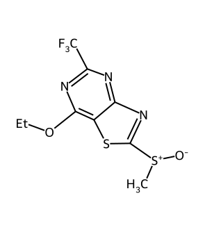 CCOc1nc(C(F)(F)F)nc2nc([S+](C)[O-])sc12